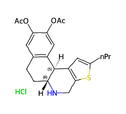 CCCc1cc2c(s1)CN[C@@H]1CCc3cc(OC(C)=O)c(OC(C)=O)cc3[C@@H]21.Cl